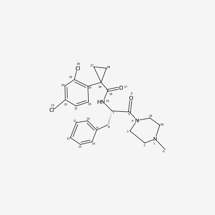 CN1CCN(C(=O)[C@H](Cc2ccccc2)NC(=O)C2(c3ccc(Cl)cc3Cl)CC2)CC1